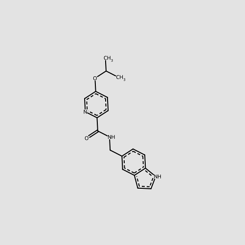 CC(C)Oc1ccc(C(=O)NCc2ccc3[nH]ccc3c2)nc1